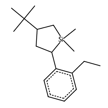 CCc1ccccc1C1CC(C(C)(C)C)C[Si]1(C)C